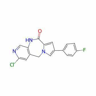 O=C1Nc2cnc(Cl)cc2Cn2cc(-c3ccc(F)cc3)cc21